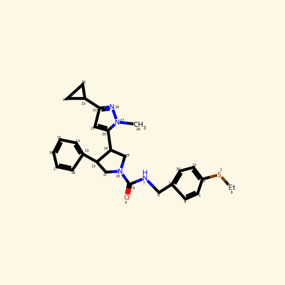 CCSc1ccc(CNC(=O)N2CC(c3ccccc3)C(c3cc(C4CC4)nn3C)C2)cc1